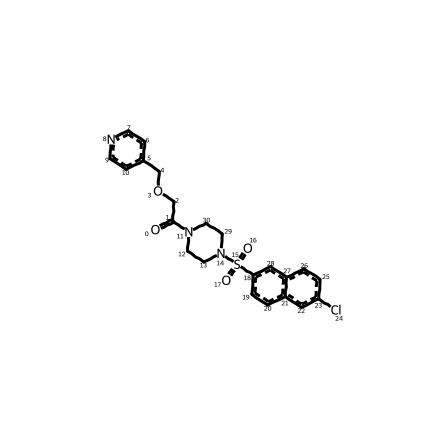 O=C(COCc1ccncc1)N1CCN(S(=O)(=O)c2ccc3cc(Cl)ccc3c2)CC1